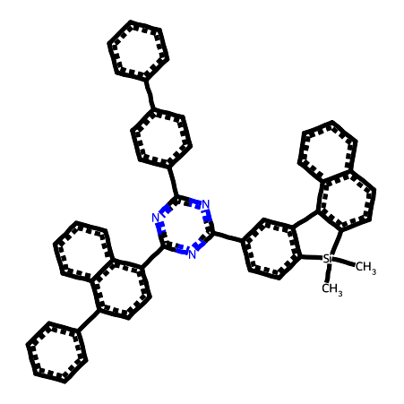 C[Si]1(C)c2ccc(-c3nc(-c4ccc(-c5ccccc5)cc4)nc(-c4ccc(-c5ccccc5)c5ccccc45)n3)cc2-c2c1ccc1ccccc21